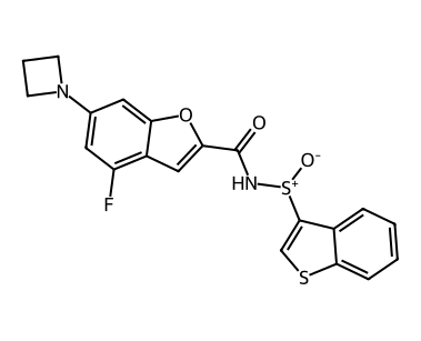 O=C(N[S+]([O-])c1csc2ccccc12)c1cc2c(F)cc(N3CCC3)cc2o1